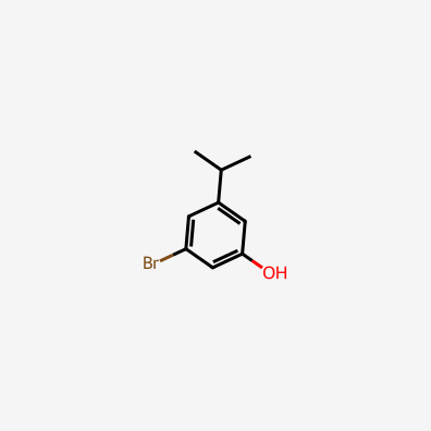 CC(C)c1cc(O)cc(Br)c1